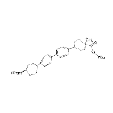 CCCCC[C@H]1CC[C@H](c2ccc(-c3ccc(C4CCC(C)(C(=O)OCCCC)CC4)cc3)cc2)CC1